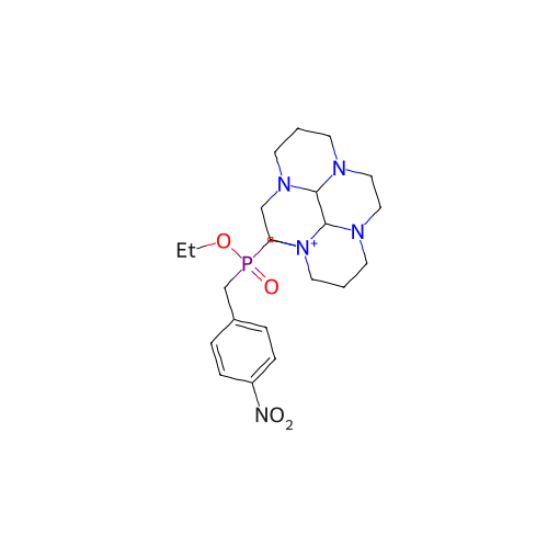 CCOP(=O)(Cc1ccc([N+](=O)[O-])cc1)C[N+]12CCCN3CCN4CCCN(CC1)C4C32